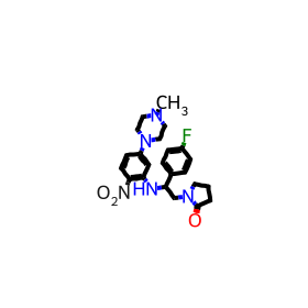 CN1CCN(c2ccc([N+](=O)[O-])c(NC(CN3CCCC3=O)c3ccc(F)cc3)c2)CC1